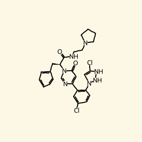 O=C(NCCN1CCCC1)[C@H](Cc1ccccc1)n1cnc(-c2cc(Cl)ccc2N2C=C(Cl)NN2)cc1=O